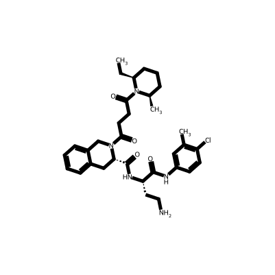 CC[C@H]1CCC[C@@H](C)N1C(=O)CCC(=O)N1Cc2ccccc2C[C@H]1C(=O)N[C@@H](CCN)C(=O)Nc1ccc(Cl)c(C)c1